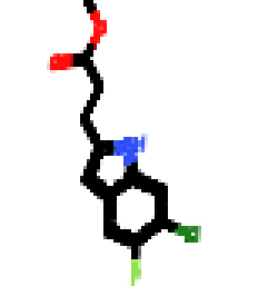 COC(=O)CCc1cc2cc(F)c(Cl)cc2[nH]1